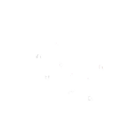 CCC(OC(=O)c1cccc(Br)c1C(=O)OC(CC)C(C)C)C(C)C